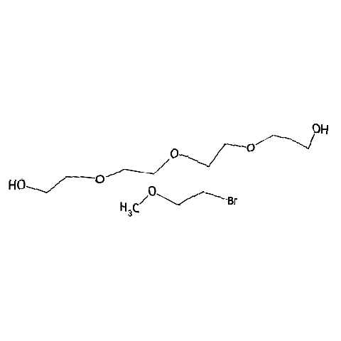 COCCBr.OCCOCCOCCOCCO